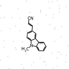 Cn1c2ccccc2c2cc(/C=C/C#N)ccc21